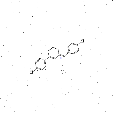 Clc1ccc(/C=C2/C=C(c3ccc(Cl)cc3)CCC2)cc1